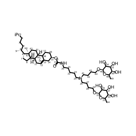 CC(C)CCC[C@@H](C)[C@H]1CC[C@H]2[C@@H]3CC=C4C[C@H](OC(=O)NCCCCCN(CCCCO[C@@H]5OC(C)[C@H](O)[C@H](O)C5O)CCCCO[C@@H]5OC(C)[C@H](O)[C@H](O)C5O)CC[C@]4(C)[C@H]3CC[C@]12C